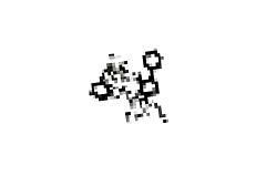 CCN.CCN(Cc1ccccc1)S(=O)(=O)NC(=O)N(c1c(C(C)C)ccc(-c2ccccc2)c1C(C)C)C(C)C